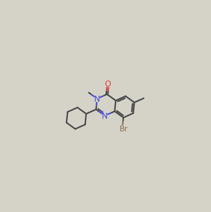 Cc1cc(Br)c2nc(C3CCCCC3)n(C)c(=O)c2c1